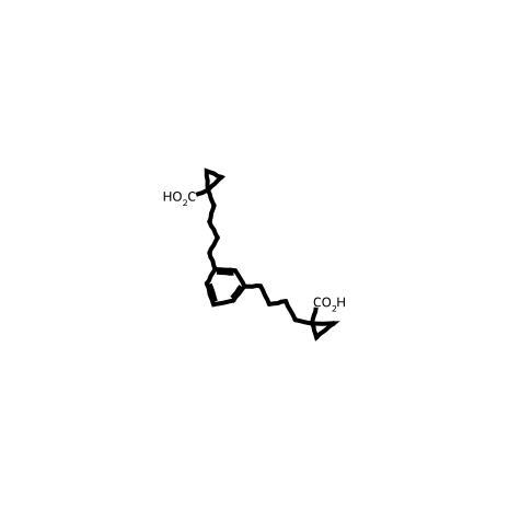 O=C(O)C1(CCCCc2cccc(CCCCC3(C(=O)O)CC3)c2)CC1